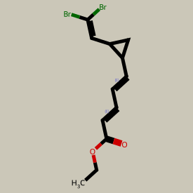 CCOC(=O)/C=C/C=C/C1CC1C=C(Br)Br